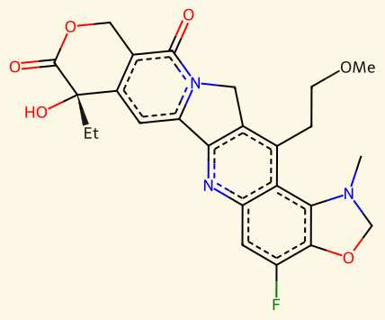 CC[C@@]1(O)C(=O)OCc2c1cc1n(c2=O)Cc2c-1nc1cc(F)c3c(c1c2CCOC)N(C)CO3